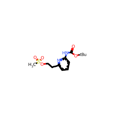 CC(C)(C)OC(=O)Nc1cccc(CCOS(C)(=O)=O)n1